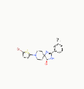 O=C1NC(c2cccc(C(F)(F)F)c2)=NC12CCN(c1ccc(Br)s1)CC2